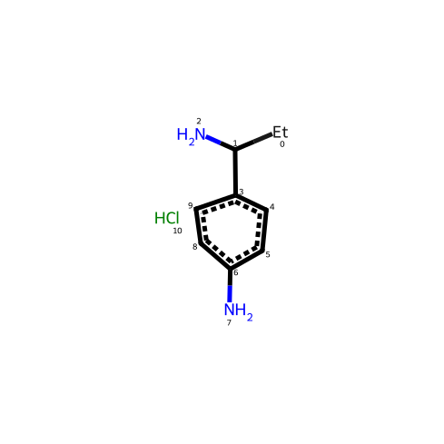 CCC(N)c1ccc(N)cc1.Cl